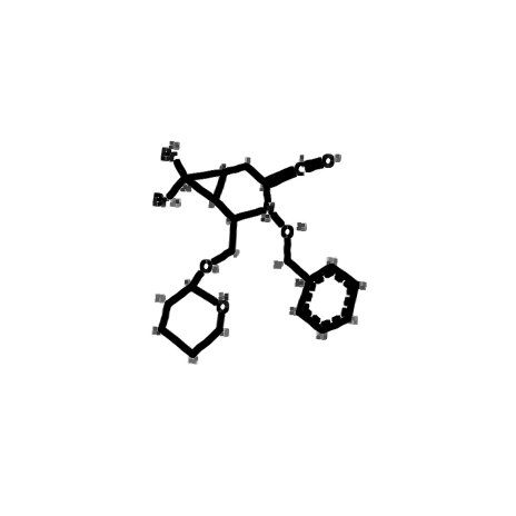 O=C=C1CC2C(C(COC3CCCCO3)N1OCc1ccccc1)C2(Br)Br